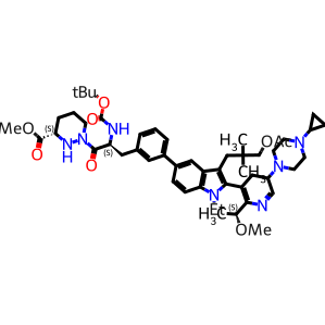 CCn1c(C2=C([C@H](C)OC)N=CC(N3CCN(C4CC4)CC3)C2)c(CC(C)(C)COC(C)=O)c2cc(-c3cccc(C[C@H](NC(=O)OC(C)(C)C)C(=O)N4CCC[C@@H](C(=O)OC)N4)c3)ccc21